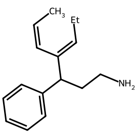 C/C=C\C(=C/CC)C(CCN)c1ccccc1